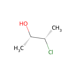 C[C@H](O)[C@H](C)Cl